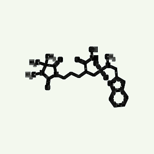 CN1C(=O)N(CCCC(CS(=O)(=O)N(C)Cc2cc3ccccc3o2)C(=O)NO)C(=O)C1(C)C